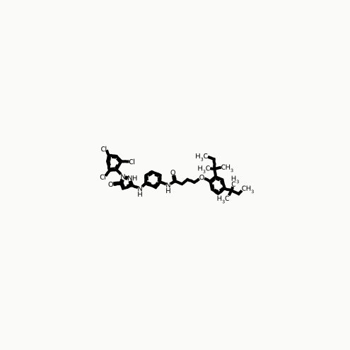 CCC(C)(C)c1ccc(OCCCC(=O)Nc2cccc(Nc3cc(=O)n(-c4c(Cl)cc(Cl)cc4Cl)[nH]3)c2)c(C(C)(C)CC)c1